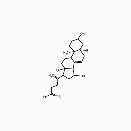 C=C(CCC(=C)C1CC(O)C2C3=CC[C@H]4CC(O)CCC4(C)C3CCC12C)C(C)C